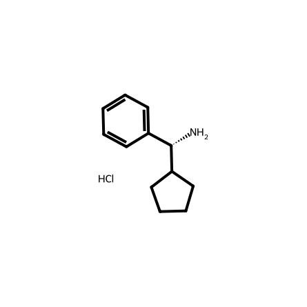 Cl.N[C@@H](c1ccccc1)C1CCCC1